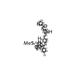 CSCC[C@H](NC(=O)c1cc(C=C[C@@H]2C[C@H](SC(=O)c3cccnc3)CN2)ccc1CCc1ccc(C)cc1)C(=O)OC(C)C